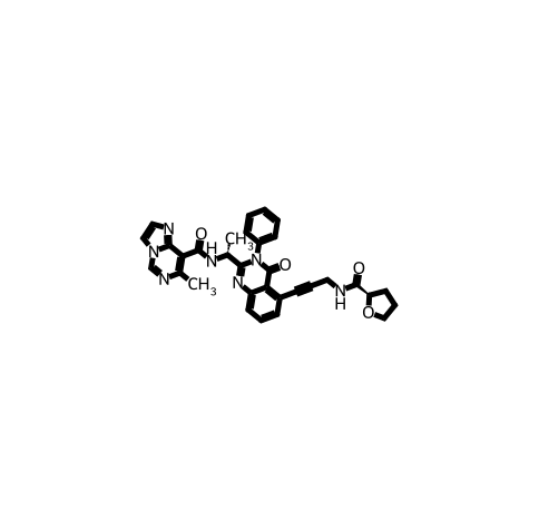 Cc1ncn2ccnc2c1C(=O)N[C@H](C)c1nc2cccc(C#CCNC(=O)[C@H]3CCCO3)c2c(=O)n1-c1ccccc1